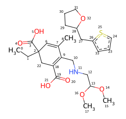 CCC1(C(=O)O)C=C(C)C(CNCC(OC)OC)=C(C(=O)O)C1.c1csc(CC2CCCO2)c1